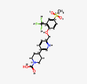 CS(=O)(=O)c1ccc(OCc2ccc(C3CCN(C(=O)O)CC3)cn2)c(C(F)(F)F)c1